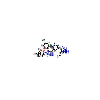 Cc1[nH]nnc1-c1ccnc(-c2ncn(C)c2-c2c(F)cc(F)cc2OCC2CC2)c1